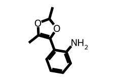 CC1=C(c2ccccc2N)OC(C)O1